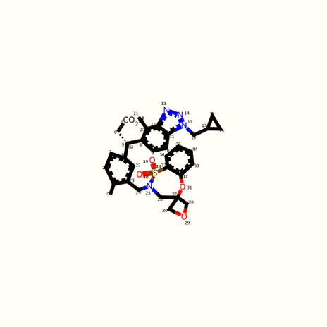 Cc1ccc([C@H](CC(=O)O)c2ccc3c(nnn3CC3CC3)c2C)cc1CN1CC2(COC2)Oc2ccccc2S1(=O)=O